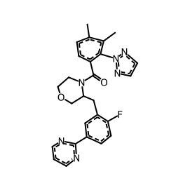 Cc1ccc(C(=O)N2CCOCC2Cc2cc(-c3ncccn3)ccc2F)c(-n2nccn2)c1C